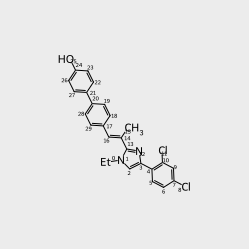 CCn1cc(-c2ccc(Cl)cc2Cl)nc1/C(C)=C/c1ccc(-c2ccc(O)cc2)cc1